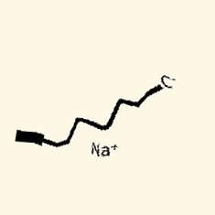 C#CCCCCC[CH2-].[Na+]